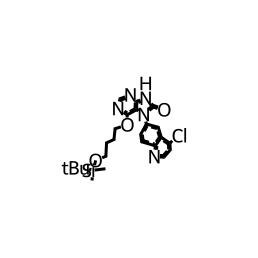 CC(C)(C)[Si](C)(C)OCCCCOc1ncnc2[nH]c(=O)n(-c3ccc4nccc(Cl)c4c3)c12